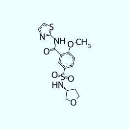 COc1ccc(S(=O)(=O)N[C@H]2CCOC2)cc1C(=O)Nc1nccs1